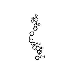 COC1(CN2CCN3c4cc(-c5ccccc5O)nnc4NC[C@H]3C2)CCN(CC2CCN(c3ccc4c(c3)CN(C3CCC(=O)NC3=O)C4=O)CC2)CC1